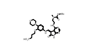 CN(CCNc1ncnc2c1/C(=C/Nc1ccc(N3CCOCC3)c(OCCCC(=O)O)c1)C(=O)N2)C(=O)OC(C)(C)C